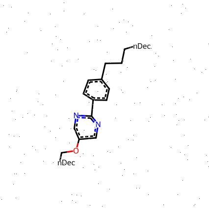 CCCCCCCCCCCCCc1ccc(-c2ncc(OCCCCCCCCCCC)cn2)cc1